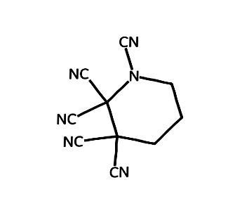 N#CN1CCCC(C#N)(C#N)C1(C#N)C#N